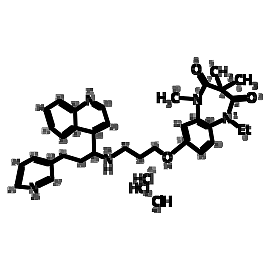 CCN1C(=O)C(C)(C)C(=O)N(C)c2cc(OCCCNC(CCc3cccnc3)c3ccnc4ccccc34)ccc21.Cl.Cl.Cl